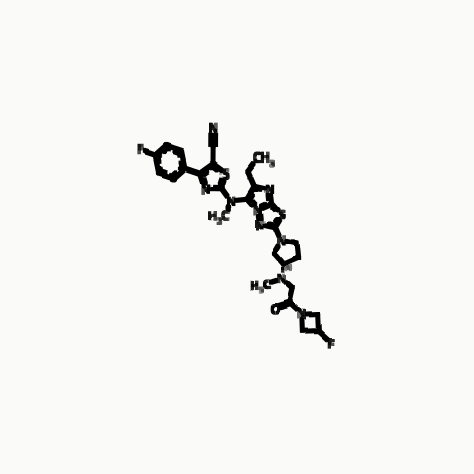 CCc1nc2sc(N3CC[C@H](N(C)CC(=O)N4CC(F)C4)C3)nn2c1N(C)c1nc(-c2ccc(F)cc2)c(C#N)s1